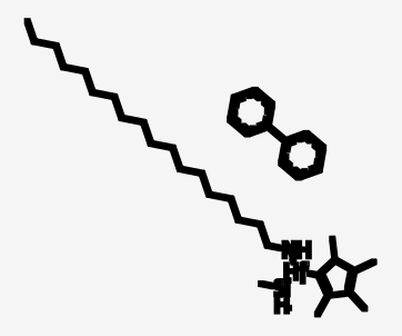 CCCCCCCCCCCCCCCCCC[NH][Hf]([C]1=C(C)C(C)=C(C)C1C)[SiH](C)C.c1ccc(-c2ccccc2)cc1